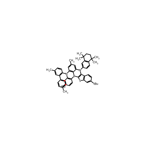 Cc1ccc(-c2cc(C)ccc2N2c3cc(C(C)(C)C)ccc3B3c4sc5cc(C(C)(C)C)ccc5c4N(c4ccc5c(c4)C(C)(C)CCC5(C)C)c4cc(C)cc2c43)cc1